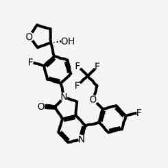 O=C1c2ccnc(-c3ccc(F)cc3OCC(F)(F)F)c2CN1c1ccc([C@]2(O)CCOC2)c(F)c1